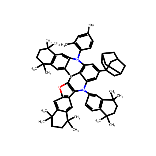 Cc1cc(C(C)(C)C)ccc1N1c2cc3c(cc2B2c4oc5cc6c(cc5c4N(c4ccc5c(c4)C(C)(C)CCC5(C)C)c4cc(C57CC8CC(CC(C8)C5)C7)cc1c42)C(C)(C)CCC6(C)C)C(C)(C)CCC3(C)C